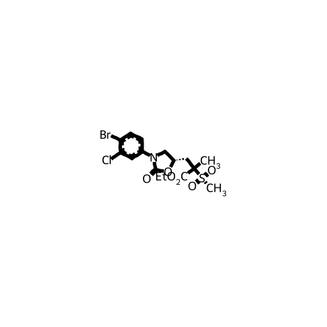 CCOC(=O)C(C)(C[C@H]1CN(c2ccc(Br)c(Cl)c2)C(=O)O1)S(C)(=O)=O